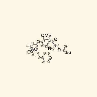 COc1cc2c(=O)n(COC(=O)C(C)(C)C)cnc2cc1OCCN(C)S(=O)(=O)CCCN1CCOCC1